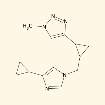 Cn1cc(C2CC2Cn2cnc(C3CC3)c2)nn1